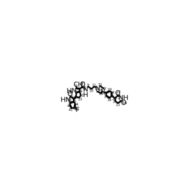 Cc1[nH]c2c(c1C(=O)NCCCN1CCN(c3ccc(C4CCC(=O)NC4=O)cc3)CC1)CC/C2=C1/C(=O)Nc2ccc(F)cc21